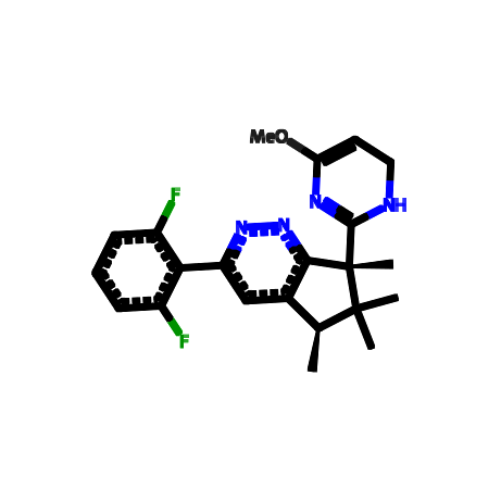 COC1=CCNC([C@@]2(C)c3nnc(-c4c(F)cccc4F)cc3[C@H](C)C2(C)C)=N1